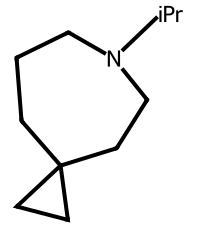 CC(C)N1CCCC2(CC1)CC2